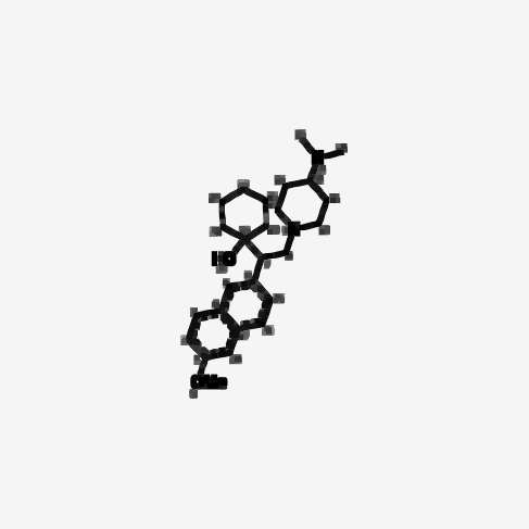 COc1ccc2cc(C(CN3CCC(N(C)C)CC3)C3(O)CCCCC3)ccc2c1